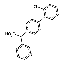 O=C(O)C(c1ccc(-c2ccccc2Cl)cc1)c1cccnc1